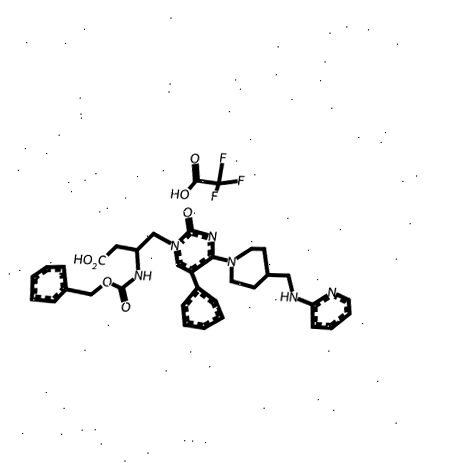 O=C(O)C(F)(F)F.O=C(O)CC(Cn1cc(-c2ccccc2)c(N2CCC(CNc3ccccn3)CC2)nc1=O)NC(=O)OCc1ccccc1